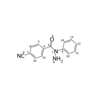 N#Cc1ccc(C(=O)N(N)c2ccccc2)cc1